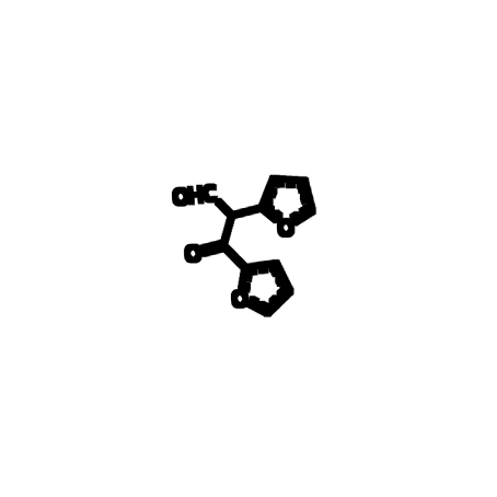 O=CC(C(=O)c1ccco1)c1ccco1